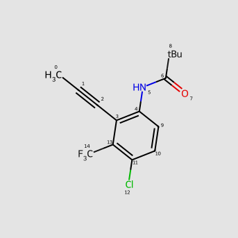 CC#Cc1c(NC(=O)C(C)(C)C)ccc(Cl)c1C(F)(F)F